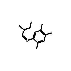 CCN(C)/C=N\c1cc(C)c(I)cc1C